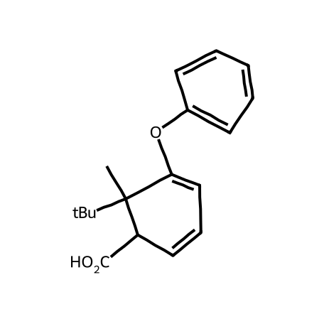 CC(C)(C)C1(C)C(Oc2ccccc2)=CC=CC1C(=O)O